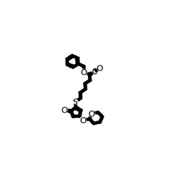 O=C=C(CCCCCSC1=CC(OC2CCCCO2)CC1=O)OCc1ccccc1